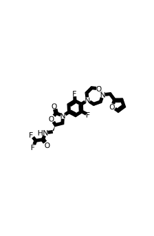 O=C(NC[C@H]1CN(c2cc(F)c(N3CCON(Cc4ccco4)CC3)c(F)c2)C(=O)O1)C(F)F